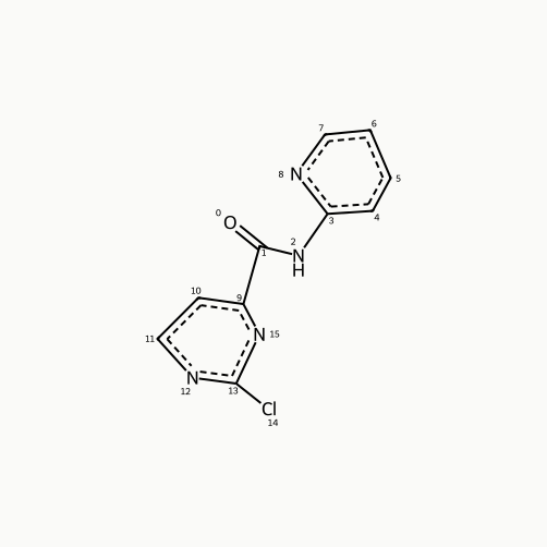 O=C(Nc1ccccn1)c1ccnc(Cl)n1